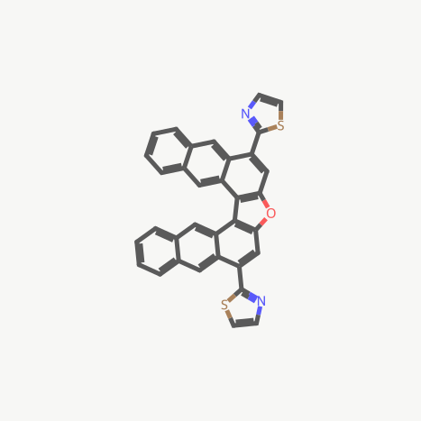 c1ccc2cc3c(cc2c1)c(-c1nccs1)cc1oc2cc(-c4nccs4)c4cc5ccccc5cc4c2c13